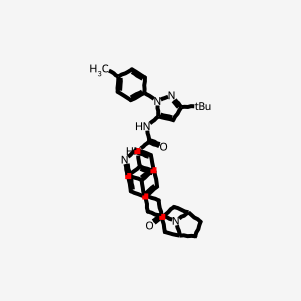 Cc1ccc(-n2nc(C(C)(C)C)cc2NC(=O)Nc2ccc(CC3CC4CCC(C3)N4C(=O)CCc3cccnc3)cc2)cc1